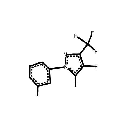 Cc1cccc(-n2nc(C(F)(F)F)c(F)c2C)c1